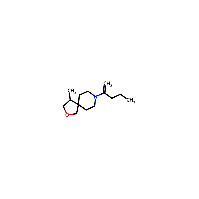 C=C(CCC)N1CCC2(CC1)COCC2C